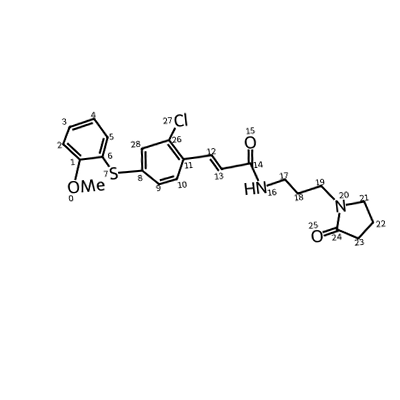 COc1ccccc1Sc1ccc(/C=C/C(=O)NCCCN2CCCC2=O)c(Cl)c1